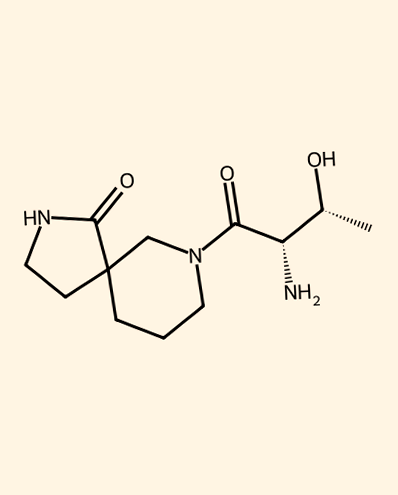 C[C@@H](O)[C@H](N)C(=O)N1CCCC2(CCNC2=O)C1